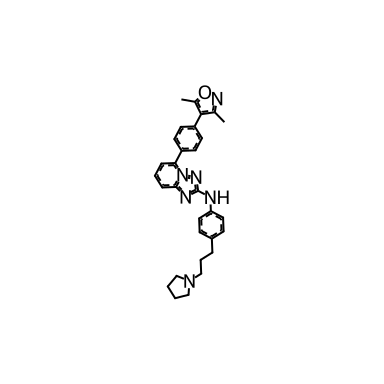 Cc1noc(C)c1-c1ccc(-c2cccc3nc(Nc4ccc(CCCN5CCCC5)cc4)nn23)cc1